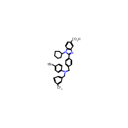 CC(C)(C)c1ccc(N(Cc2ccc(-c3nc4cc(C(=O)O)ccc4n3C3CCCCC3)cc2)Cc2cccc(C(F)(F)F)c2)cc1